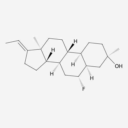 CC=C1CC[C@H]2[C@@H]3C[C@@H](F)[C@@H]4C[C@](C)(O)CC[C@@H]4[C@H]3CC[C@]12C